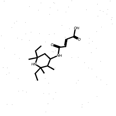 CCC1(C)CC(NC(=O)C=CC(=O)O)C(C)C(C)(CC)N1